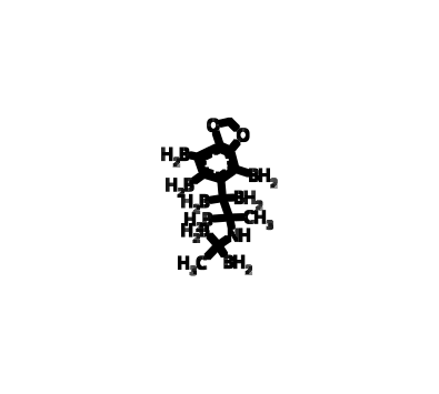 Bc1c(B)c(C(B)(B)C(B)(C)NC(B)(B)C)c(B)c2c1OCO2